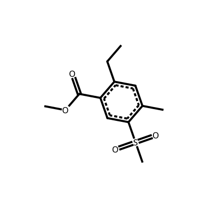 CCc1cc(C)c(S(C)(=O)=O)cc1C(=O)OC